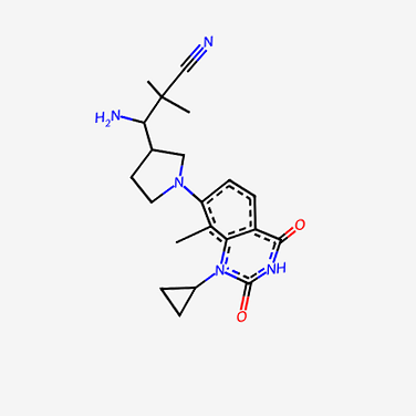 Cc1c(N2CCC(C(N)C(C)(C)C#N)C2)ccc2c(=O)[nH]c(=O)n(C3CC3)c12